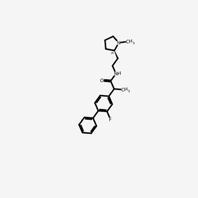 CC(C(=O)NCC[C@H]1CCCN1C)c1ccc(-c2ccccc2)c(F)c1